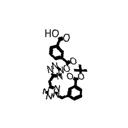 CC(C)(C)OC(=O)c1cccc(Cn2nnc(Cc3nnn(OC(=O)c4cccc(C(=O)O)c4)n3)n2)c1